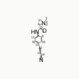 C[N+](C)(C)CC(=O)Nc1ccc(C#CC#N)cc1